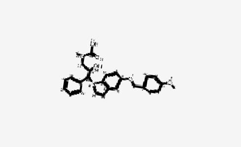 COc1ccc(COc2ccc3c(ccn3C(c3ccccc3)C(O)CN(C)C(=O)O)c2)cc1